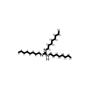 CCCCCCCC[N]C(=NCCCCCCCC)NCCCCCCCC